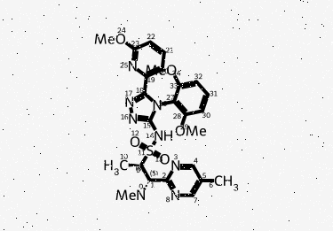 CN[C@@H](c1ncc(C)cn1)[C@@H](C)S(=O)(=O)Nc1nnc(-c2cccc(OC)n2)n1-c1c(OC)cccc1OC